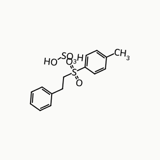 Cc1ccc(S(=O)(=O)CCc2ccccc2)cc1.O=S(=O)(O)O